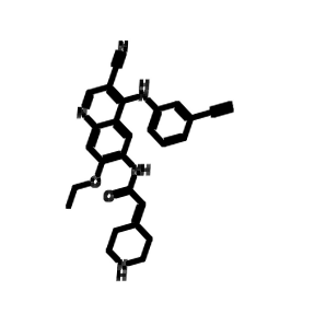 C#Cc1cccc(Nc2c(C#N)cnc3cc(OCC)c(NC(=O)C=C4CCNCC4)cc23)c1